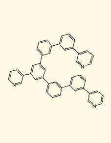 c1cncc(-c2cccc(-c3cccc(-c4cc(-c5cccnc5)cc(-c5cccc(-c6cccc(-c7cccnc7)c6)c5)c4)c3)c2)c1